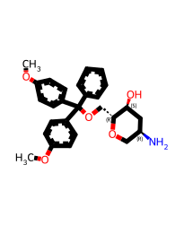 COc1ccc(C(OC[C@H]2OC[C@H](N)C[C@@H]2O)(c2ccccc2)c2ccc(OC)cc2)cc1